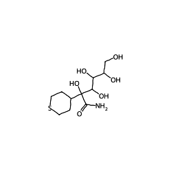 NC(=O)C(O)(C1CCSCC1)C(O)C(O)C(O)CO